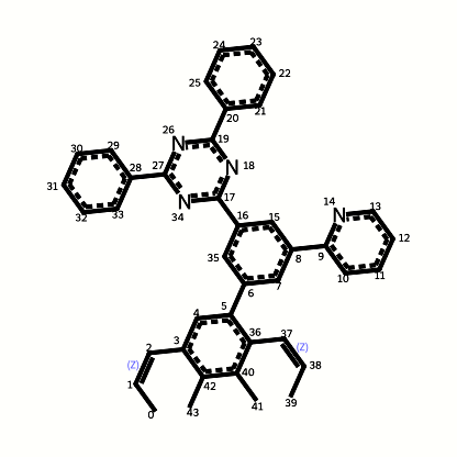 C/C=C\c1cc(-c2cc(-c3ccccn3)cc(-c3nc(-c4ccccc4)nc(-c4ccccc4)n3)c2)c(/C=C\C)c(C)c1C